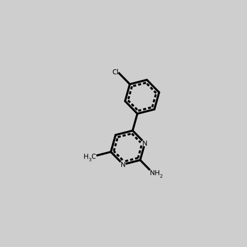 Cc1cc(-c2cccc(Cl)c2)nc(N)n1